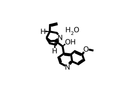 C=C[C@@H]1CN2CCC1C[C@H]2[C@@H](O)c1ccnc2ccc(OC)cc12.O